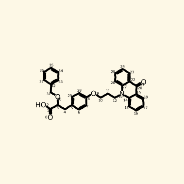 O=C(O)C(Cc1ccc(OCCCn2c3ccccc3c(=O)c3ccccc32)cc1)OCc1ccccc1